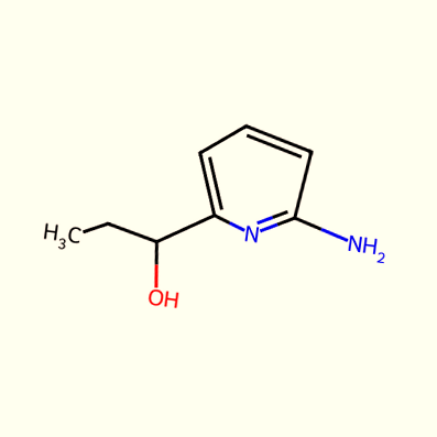 CCC(O)c1cccc(N)n1